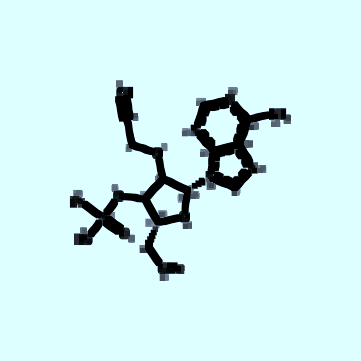 C#CCOC1C(OP(=O)(O)C(C)C)[C@@H](COC)O[C@H]1n1cnc2c(N)ncnc21